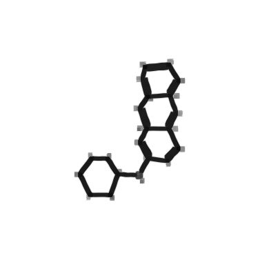 [c]1c(OC2CCCCC2)ccc2cc3ccccc3cc12